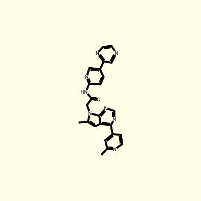 Cc1cc(-c2ncnc3c2cc(C)n3CC(=O)Nc2ccc(-c3cnccn3)cn2)ccn1